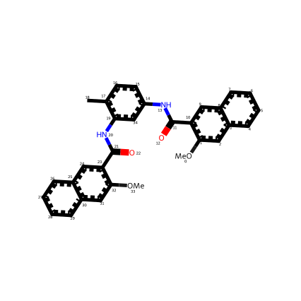 COc1cc2ccccc2cc1C(=O)Nc1ccc(C)c(NC(=O)c2cc3ccccc3cc2OC)c1